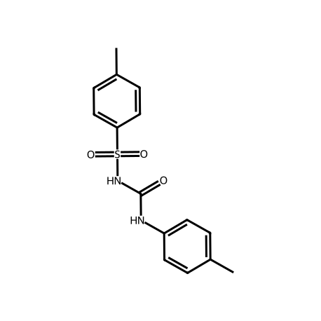 Cc1ccc(NC(=O)NS(=O)(=O)c2ccc(C)cc2)cc1